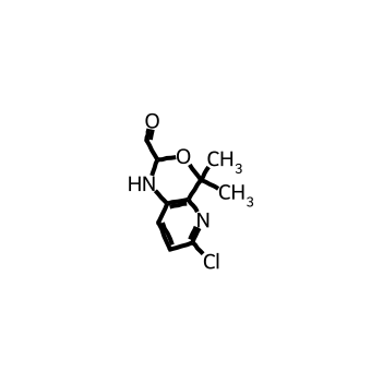 CC1(C)OC(C=O)Nc2ccc(Cl)nc21